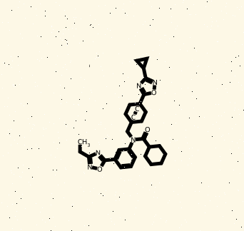 CCc1noc(-c2cccc(N(CC34CCC(c5nc(C6CC6)no5)(CC3)CC4)C(=O)C3CCCCC3)c2)n1